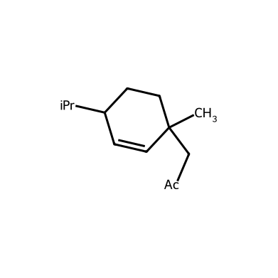 CC(=O)CC1(C)C=CC(C(C)C)CC1